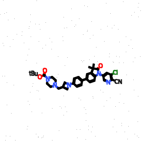 CC(C)(C)OC(=O)N1CCN(CC2CN(c3ccc(-c4ccc5c(c4)C(C)(C)C(=O)N5c4cnc(C#N)c(Cl)c4)cc3)C2)CC1